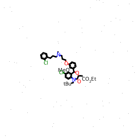 CCOC(=O)CC1OC(c2cccc(OCCCN(C)CCCc3ccccc3Cl)c2OC)c2cc(Cl)ccc2N(CC(C)(C)C)C1=O